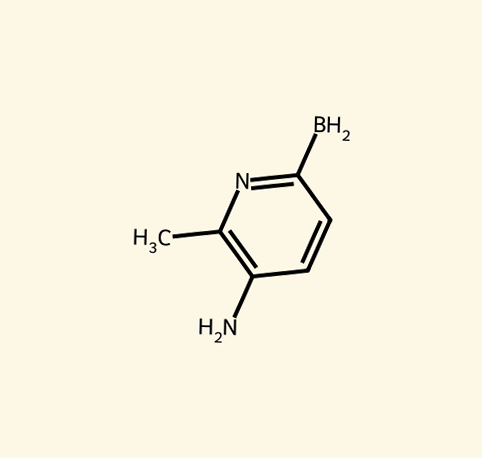 Bc1ccc(N)c(C)n1